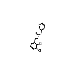 O=C(C=Cc1cccc(Cl)c1Cl)Cc1cccnc1